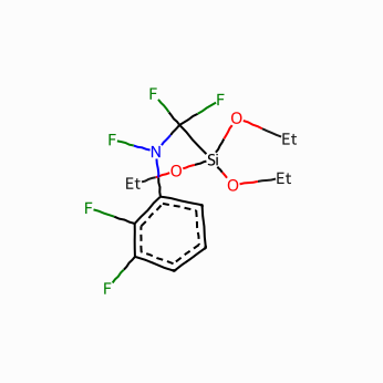 CCO[Si](OCC)(OCC)C(F)(F)N(F)c1cccc(F)c1F